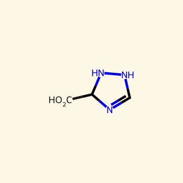 O=C(O)C1N=CNN1